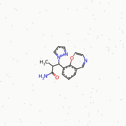 CC(C(N)=O)C(c1cccc2c1OC=CN=C2)n1cccn1